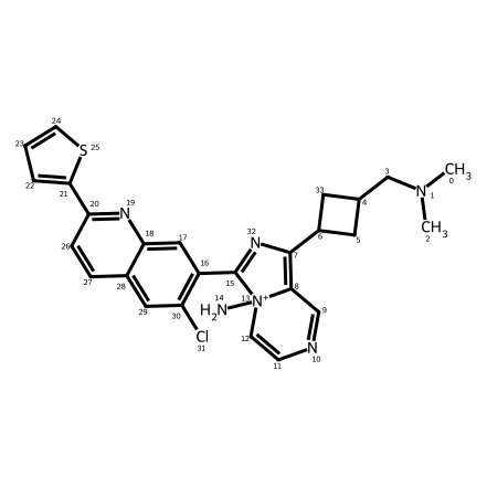 CN(C)CC1CC(C2=C3C=NC=C[N+]3(N)C(c3cc4nc(-c5cccs5)ccc4cc3Cl)=N2)C1